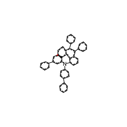 c1ccc(-c2ccc(N(c3cccc(-c4ccccc4)c3)c3cccc4c(-c5ccccc5)c(-c5ccccc5)c5ccccc5c34)cc2)cc1